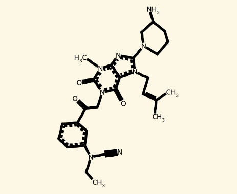 CCN(C#N)c1cccc(C(=O)Cn2c(=O)c3c(nc(N4CCCC(N)C4)n3CC=C(C)C)n(C)c2=O)c1